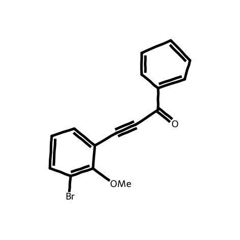 COc1c(Br)cccc1C#CC(=O)c1ccccc1